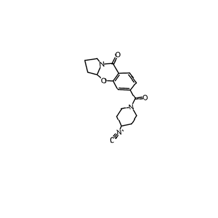 [C-]#[N+]C1CCN(C(=O)c2ccc3c(c2)OC2CCCN2C3=O)CC1